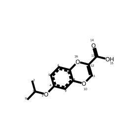 CC(C)Oc1ccc2c(c1)OC=C(C(=O)O)O2